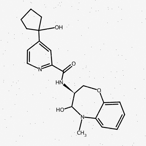 CN1c2ccccc2OC[C@H](NC(=O)c2cc(C3(O)CCCC3)ccn2)C1O